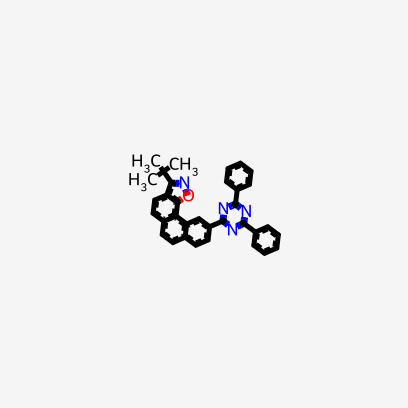 CC(C)(C)c1noc2c1ccc1ccc3ccc(-c4nc(-c5ccccc5)nc(-c5ccccc5)n4)cc3c12